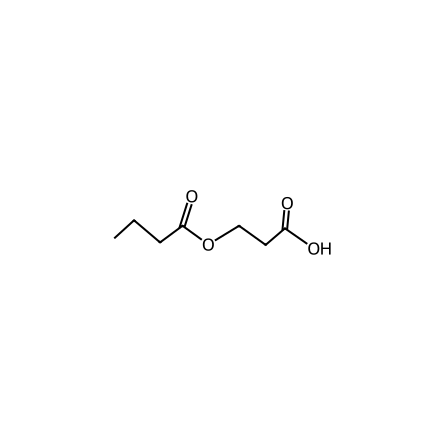 CCCC(=O)OCCC(=O)O